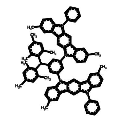 Cc1cc(C)c(B(c2cc(-n3c4ccc(C)cc4c4cc5c(cc43)c3cc(C)ccc3n5-c3ccccc3)cc(-n3c4ccc(C)cc4c4cc5c(cc43)c3cc(C)ccc3n5-c3ccccc3)c2)c2c(C)cc(C)cc2C)c(C)c1